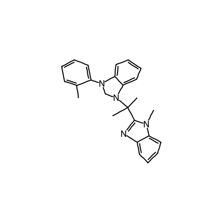 Cc1ccccc1N1CN(C(C)(C)c2nc3ccccc3n2C)c2ccccc21